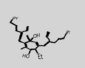 C=C/C(=C\C1=CC(C)(O)C(/C=C(\C=C)CCCC(C)C)=C(C)C(O)=C1CC)CCCC(C)C